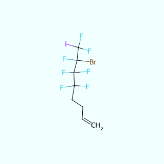 C=CCCC(F)(F)C(F)(F)C(F)(Br)C(F)(F)I